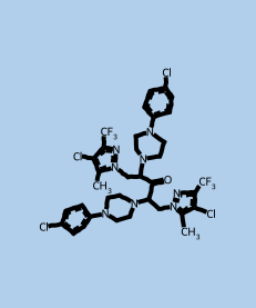 Cc1c(Cl)c(C(F)(F)F)nn1CC(C(=O)C(Cn1nc(C(F)(F)F)c(Cl)c1C)N1CCN(c2ccc(Cl)cc2)CC1)N1CCN(c2ccc(Cl)cc2)CC1